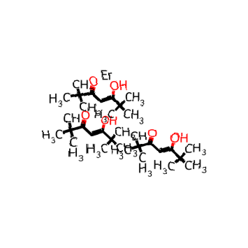 CC(C)(C)C(=O)C=C(O)C(C)(C)C.CC(C)(C)C(=O)C=C(O)C(C)(C)C.CC(C)(C)C(=O)C=C(O)C(C)(C)C.[Er]